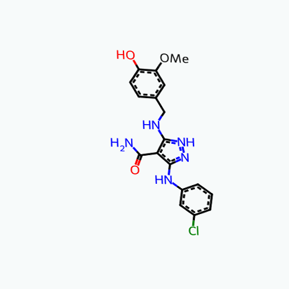 COc1cc(CNc2[nH]nc(Nc3cccc(Cl)c3)c2C(N)=O)ccc1O